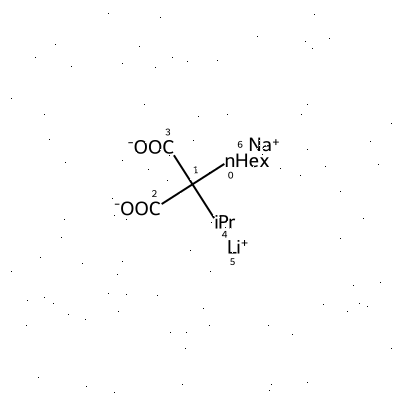 CCCCCCC(C(=O)[O-])(C(=O)[O-])C(C)C.[Li+].[Na+]